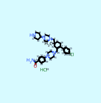 C[C@@]1(CN2CCN(C3CCNCC3)CC2)CCC(c2ccc(Cl)cc2)=C(CN2CCN(c3ccc(C(N)=O)cc3)CC2)C1.Cl